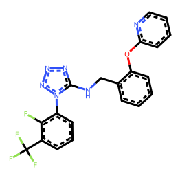 Fc1c(-n2nnnc2NCc2ccccc2Oc2ccccn2)cccc1C(F)(F)F